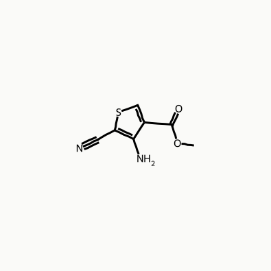 COC(=O)c1csc(C#N)c1N